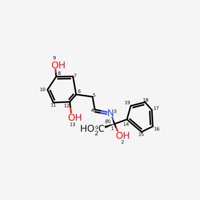 O=C(O)[C@@](O)(N=CCc1cc(O)ccc1O)c1ccccc1